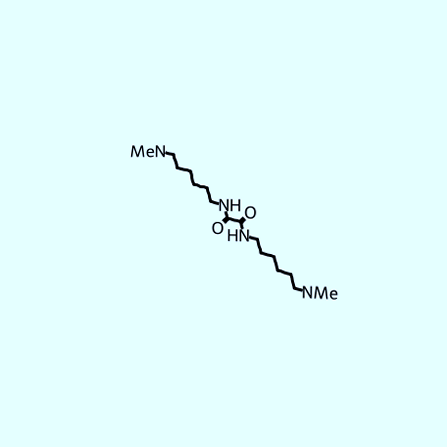 CNCCCCCCNC(=O)C(=O)NCCCCCCNC